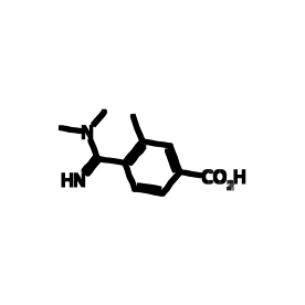 Cc1cc(C(=O)O)ccc1C(=N)N(C)C